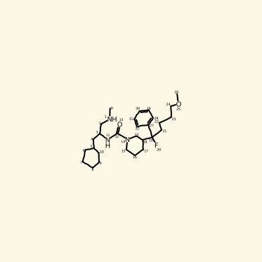 CNCC(CC1CCCCC1)NC(=O)N1CCCC(C(F)(CCCCOC)c2ccccc2)C1